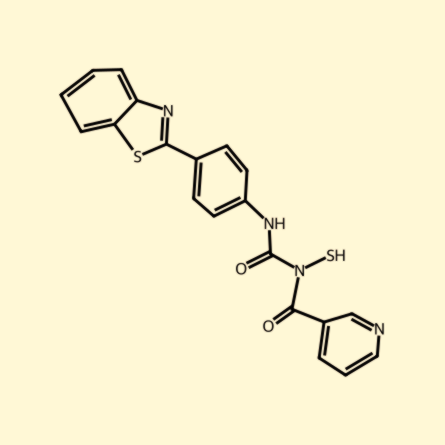 O=C(Nc1ccc(-c2nc3ccccc3s2)cc1)N(S)C(=O)c1cccnc1